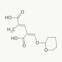 CC(=CC(=COC1CCCCO1)C(=O)O)C(=O)O